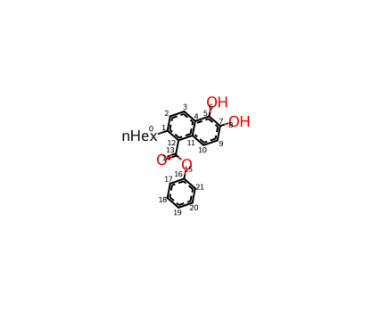 CCCCCCc1ccc2c(O)c(O)ccc2c1C(=O)Oc1ccccc1